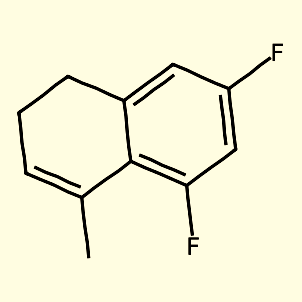 CC1=CCCc2cc(F)cc(F)c21